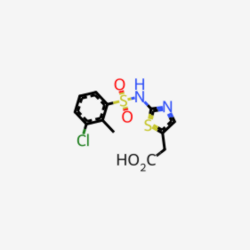 Cc1c(Cl)cccc1S(=O)(=O)Nc1ncc(CC(=O)O)s1